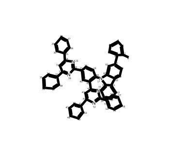 Cc1ccccc1-c1ccc2c3ccccc3n(-c3ccc(-c4nc(-c5ccccc5)cc(-c5ccccc5)n4)cc3-c3cc(-c4ccccc4)nc(-c4ccccc4)n3)c2c1